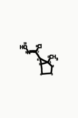 CC12CCCC1C2/C(Cl)=N/O